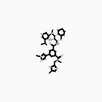 Cc1csc(CN(C)C(=O)c2cc(C(=O)N[C@@H](Cc3ccccc3)[C@H](O)CN(C)c3cncc(C(C)C)c3)cc(-c3cnn(C)c3)c2)n1